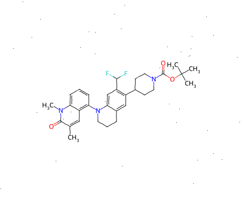 Cc1cc2c(N3CCCc4cc(C5CCN(C(=O)OC(C)(C)C)CC5)c(C(F)F)cc43)cccc2n(C)c1=O